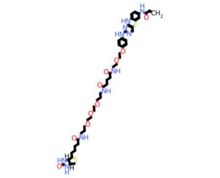 C=CC(=O)Nc1ccc(Nc2nc(Nc3ccc(OCCOCCNC(=O)CCCC(=O)NCCCOCCOCCOCCCNC(=O)CCCCC4SC[C@@H]5NC(=O)N[C@H]45)cc3)ncc2F)cc1